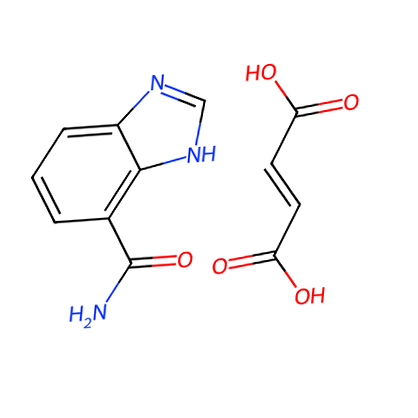 NC(=O)c1cccc2nc[nH]c12.O=C(O)C=CC(=O)O